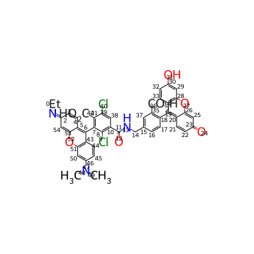 CC/N=c1\ccc2c(-c3c(Cl)c(C(=O)NCc4ccc(-c5c6ccc(=O)cc-6oc6cc(O)ccc56)c(C(=O)O)c4)cc(Cl)c3C(=O)O)c3ccc(N(C)C)cc3oc-2c1